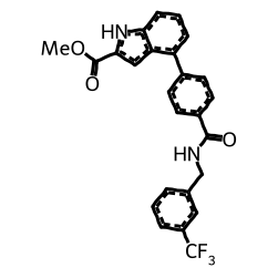 COC(=O)c1cc2c(-c3ccc(C(=O)NCc4cccc(C(F)(F)F)c4)cc3)cccc2[nH]1